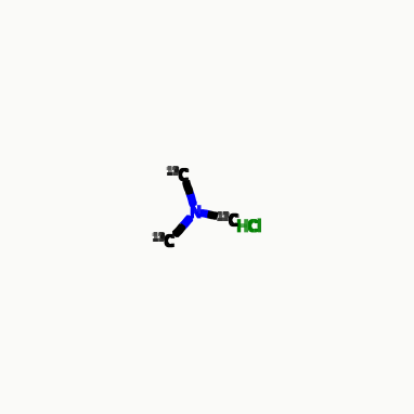 Cl.[13CH3]N([13CH3])[13CH3]